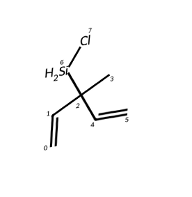 C=CC(C)(C=C)[SiH2]Cl